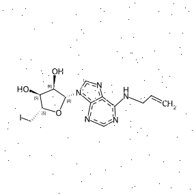 C=CCNc1ncnc2c1ncn2[C@@H]1O[C@H](CI)[C@@H](O)[C@H]1O